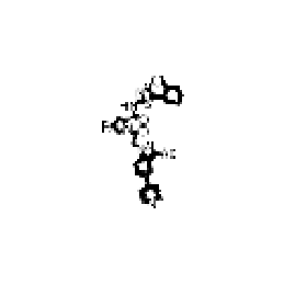 CC(=O)c1nn(CC(=O)N2C[C@H](F)C[C@H]2C(=O)Nc2nnc(-c3ccccc3Cl)s2)c2ccc(-c3ccnnc3)cc12